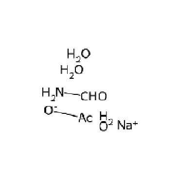 CC(=O)[O-].NC=O.O.O.O.[Na+]